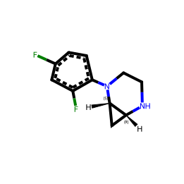 Fc1ccc(N2CCN[C@@H]3C[C@@H]32)c(F)c1